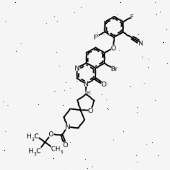 CC(C)(C)OC(=O)N1CCC2(CC1)C[C@@H](n1cnc3ccc(Oc4c(F)ccc(F)c4C#N)c(Br)c3c1=O)CO2